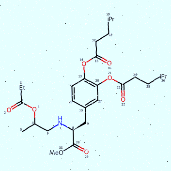 CCC(=O)OC(C)CN[C@@H](Cc1ccc(OC(=O)CCC(C)C)c(OC(=O)CCC(C)C)c1)C(=O)OC